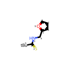 CC(C)(C)C(=S)NCc1ccco1